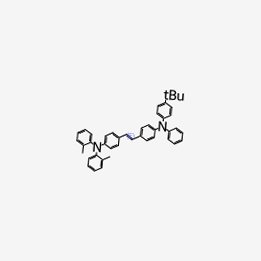 Cc1ccccc1N(c1ccc(/C=C/c2ccc(N(c3ccccc3)c3ccc(C(C)(C)C)cc3)cc2)cc1)c1ccccc1C